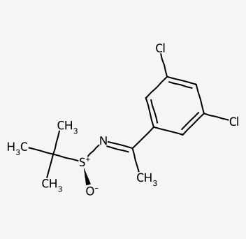 C/C(=N\[S@@+]([O-])C(C)(C)C)c1cc(Cl)cc(Cl)c1